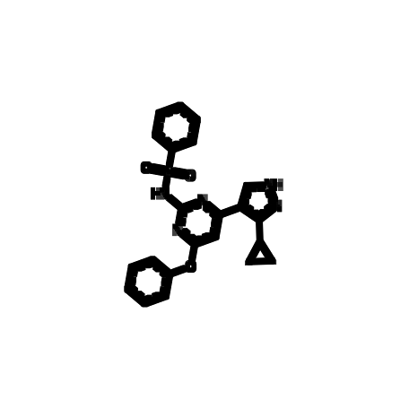 O=S(=O)(Nc1nc(Oc2ccccc2)cc(-c2c[nH]nc2C2CC2)n1)c1ccccc1